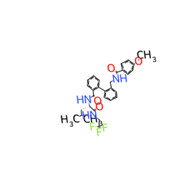 COc1ccc(C(=O)NCc2ccccc2-c2ccccc2C(=O)N[C@@H](CC(C)C)C(=O)NCC(F)(F)F)cc1